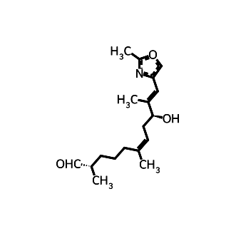 C/C(=C/C[C@H](O)/C(C)=C/c1coc(C)n1)CCC[C@H](C)C=O